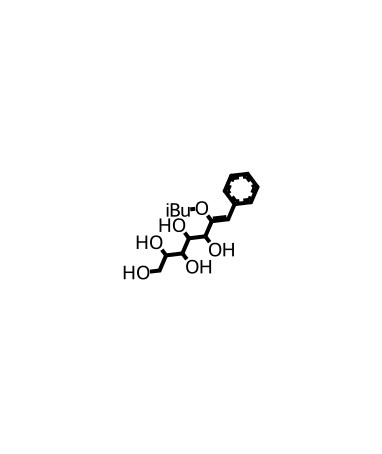 CCC(C)OC(=Cc1ccccc1)C(O)C(O)C(O)C(O)CO